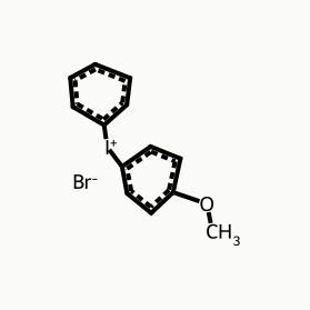 COc1ccc([I+]c2ccccc2)cc1.[Br-]